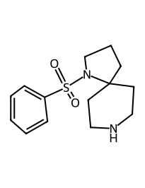 O=S(=O)(c1ccccc1)N1CCCC12CCNCC2